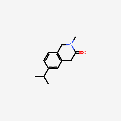 CC(C)c1ccc2c(c1)CC(=O)N(C)C2